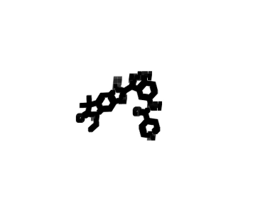 CCN1C(=O)C(C)(C)c2cc3[nH]c(-c4n[nH]c5ccc(NC(=O)c6ccncc6)cc45)nc3cc21